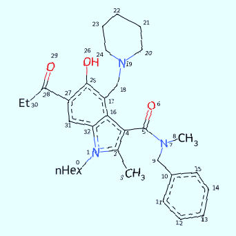 CCCCCCn1c(C)c(C(=O)N(C)Cc2ccccc2)c2c(CN3CCCCC3)c(O)c(C(=O)CC)cc21